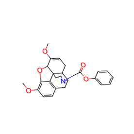 COC1=CCC2C3Cc4ccc(OC)c5c4C2(CCN3C(=O)Oc2ccccc2)C1O5